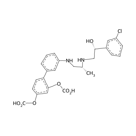 C[C@H](CNc1cccc(-c2ccc(OC(=O)O)cc2OC(=O)O)c1)NC[C@H](O)c1cccc(Cl)c1